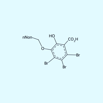 CCCCCCCCCCOc1c(O)c(C(=O)O)c(Br)c(Br)c1Br